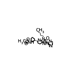 CCCCCN(C(=O)Nc1cnccn1)c1nc(-c2cccc(NS(C)(=O)=O)c2)ccc1N